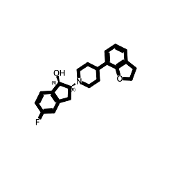 O[C@@H]1c2ccc(F)cc2C[C@H]1N1CCC(c2cccc3c2OCC3)CC1